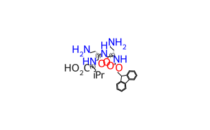 CC(C)C[C@H](NC(=O)[C@H](CCN)NC(=O)[C@H](CCN)NC(=O)OCC1c2ccccc2-c2ccccc21)C(=O)O